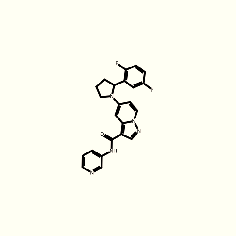 O=C(Nc1cccnc1)c1cnn2ccc(N3CCCC3c3cc(F)ccc3F)cc12